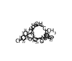 CC1C/C=C\[C@H](O)[C@@H]2CC[C@H]2CN2C[C@@]3(CCCc4cc(Cl)ccc43)COc3ccc(cc32)C(=O)NS(=O)(=O)[C@H]1C[C@@H]1CCO1